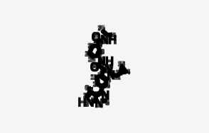 Cc1c[nH]c2ncnc(-c3ccc4c(C(=O)NC5=CC(C(=O)NC(C)C)CC=C5)nn(CC5CC5)c4c3)c12